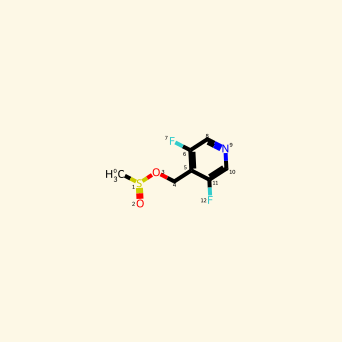 CS(=O)OCc1c(F)cncc1F